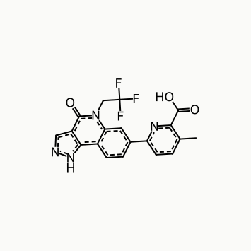 Cc1ccc(-c2ccc3c4[nH]ncc4c(=O)n(CC(F)(F)F)c3c2)nc1C(=O)O